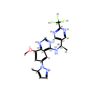 COc1cc(-n2nccc2C)cc2c(N[C@H](C)c3cnc(C(F)(F)F)nc3)ncnc12